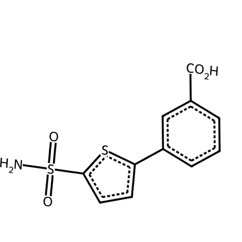 NS(=O)(=O)c1ccc(-c2cccc(C(=O)O)c2)s1